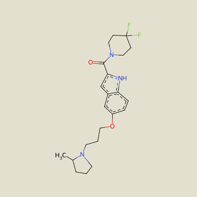 CC1CCCN1CCCOc1ccc2[nH]c(C(=O)N3CCC(F)(F)CC3)cc2c1